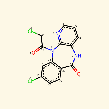 O=C1Nc2cccnc2N(C(=O)CCl)c2cc(Cl)ccc21